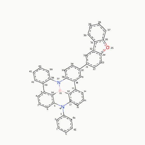 c1ccc(N2c3cccc4c3B3c5c(cccc52)-c2cc(-c5ccc6oc7ccccc7c6c5)ccc2N3c2ccccc2-4)cc1